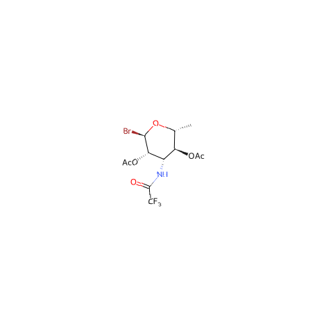 CC(=O)O[C@H]1[C@H](NC(=O)C(F)(F)F)[C@H](OC(C)=O)[C@@H](Br)O[C@@H]1C